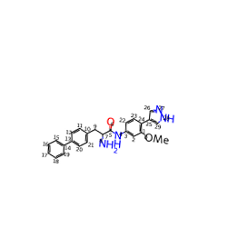 COc1cc(NC(=O)C(N)Cc2ccc(-c3ccccc3)cc2)ccc1-c1cn[nH]c1